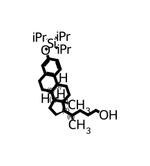 CC(C)[Si](Oc1ccc2c(c1)CC[C@@H]1[C@@H]2CC[C@]2(C)[C@@H]([C@H](C)CCCO)CC[C@@H]12)(C(C)C)C(C)C